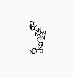 CCn1ncc(-c2nc3c(OC4CCN(C(=O)c5ccncc5)C4)ncnc3n2C)c1C